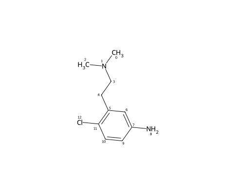 CN(C)CCc1cc(N)ccc1Cl